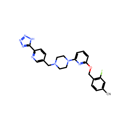 N#Cc1ccc(COc2cccc(N3CCN(Cc4ccc(-c5nnn[nH]5)nc4)CC3)n2)c(F)c1